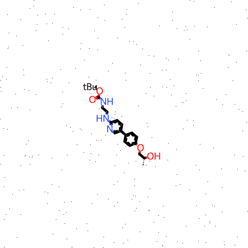 C[C@@H](O)COc1ccc(-c2ccc(NCCNC(=O)OC(C)(C)C)nc2)cc1